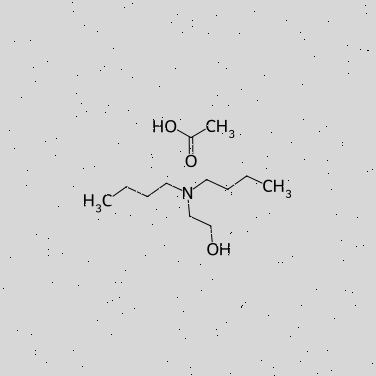 CC(=O)O.CCCCN(CCO)CCCC